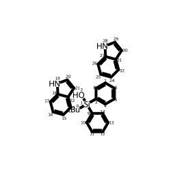 CC(C)(C)[Si](O)(c1ccccc1)c1ccccc1.c1ccc2[nH]ccc2c1.c1ccc2[nH]ccc2c1